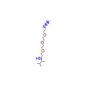 CC(C)[C@H](C)NCCOCCOCCOCCN=[N+]=[N-]